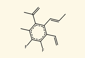 C=Cc1c(F)c(F)c(C)c(C(=C)C)c1/C=C/C